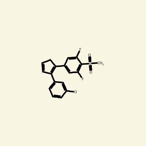 CS(=O)(=O)c1c(F)cc(C2=C(c3cccc(Cl)c3)C=CC2)cc1F